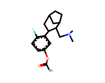 CC(C)C(=O)Oc1ccc(F)c(C2CC3CCC(C3)C2CN(C)C)c1